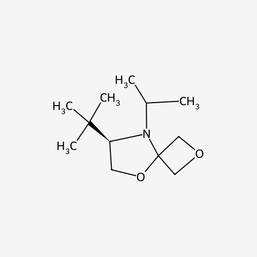 CC(C)N1[C@H](C(C)(C)C)COC12COC2